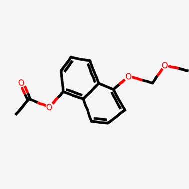 COCOc1cccc2c(OC(C)=O)cccc12